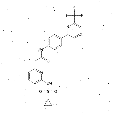 O=C(Cc1cccc(NS(=O)(=O)C2CC2)n1)Nc1ccc(-c2cncc(C(F)(F)F)n2)cc1